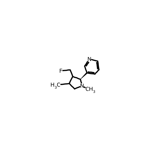 CC1CN(C)[C@H](c2cccnc2)C1CF